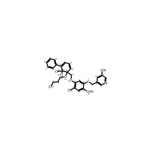 N#Cc1cncc(COc2cc(OCC3(OCCCCl)C=CC=C(c4ccccc4)C3(Cl)Cl)c(Cl)cc2C=O)c1